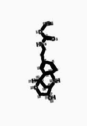 CC(C)(C)OC(=O)NCCc1ccc2c(c1)[C@@H]1CC(N2)[C@H](O)CO1